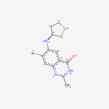 Cc1nc2cc(Br)c(N[C@H]3CCOC3)cc2c(=O)[nH]1